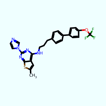 Cc1cc2c(NCCCc3ccc(-c4ccc(OC(F)(F)F)cc4)cc3)nc(-n3ccnc3)nc2s1